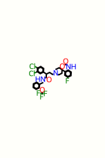 O=C1Nc2ccc(F)cc2C2(CCN(CCC(C(=O)NCc3ccccc3OC(F)(F)F)c3ccc(Cl)c(Cl)c3)CC2)O1